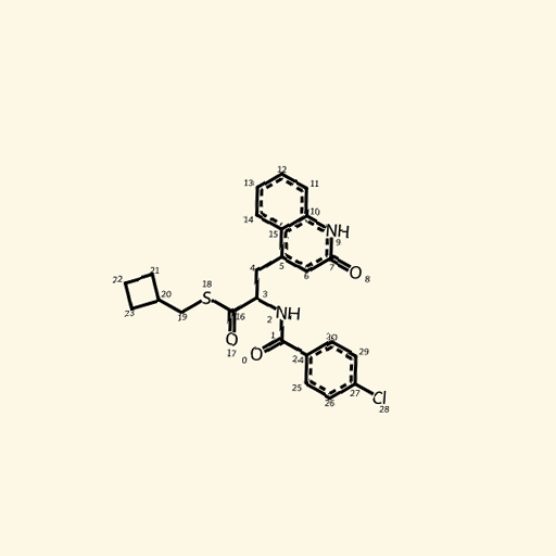 O=C(NC(Cc1cc(=O)[nH]c2ccccc12)C(=O)SCC1CCC1)c1ccc(Cl)cc1